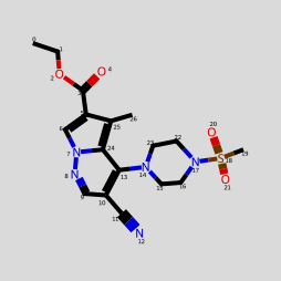 CCOC(=O)c1cn2ncc(C#N)c(N3CCN(S(C)(=O)=O)CC3)c2c1C